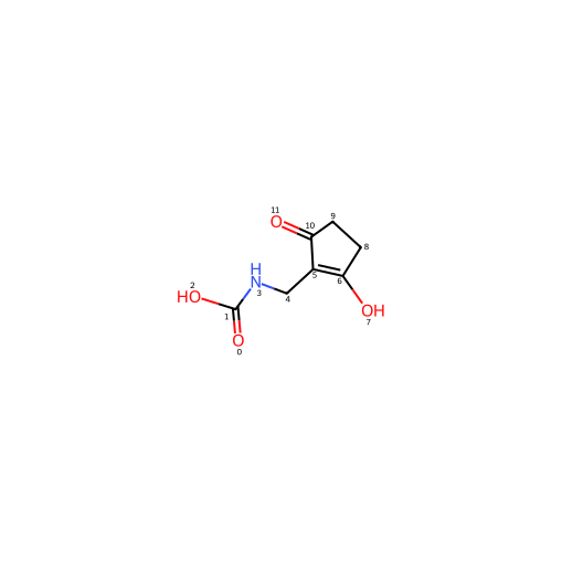 O=C(O)NCC1=C(O)CCC1=O